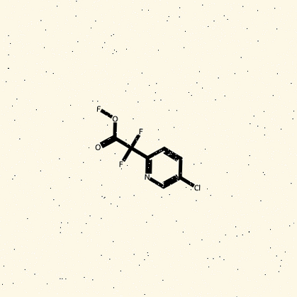 O=C(OF)C(F)(F)c1ccc(Cl)cn1